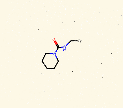 CC(C)CNC(=O)N1CCCCC1